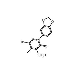 Cc1c(Br)cn(-c2ccc3c(c2)OCO3)c(=O)c1C(=O)O